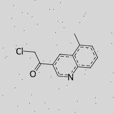 Cc1cccc2ncc(C(=O)CCl)cc12